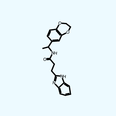 CC(NC(=O)CCc1nc2ccccc2[nH]1)c1ccc2c(c1)OCCO2